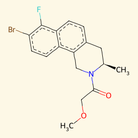 COCC(=O)N1Cc2c(ccc3c(F)c(Br)ccc23)C[C@H]1C